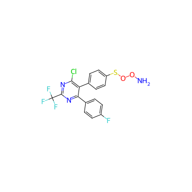 NOOSc1ccc(-c2c(Cl)nc(C(F)(F)F)nc2-c2ccc(F)cc2)cc1